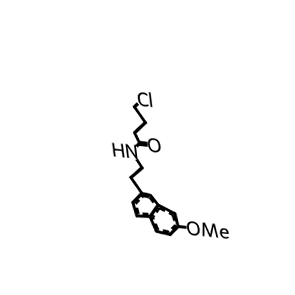 COc1ccc2ccc(CCNC(=O)CCCCl)cc2c1